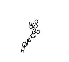 O=C1CCC(N2Cc3cc(N4CC(N5CCNCC5)C4)ccc3C2=O)C(=O)N1